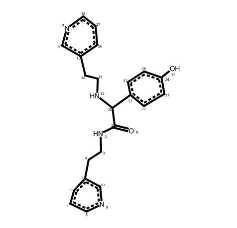 O=C(NCCc1cccnc1)C(NCCc1cccnc1)c1ccc(O)cc1